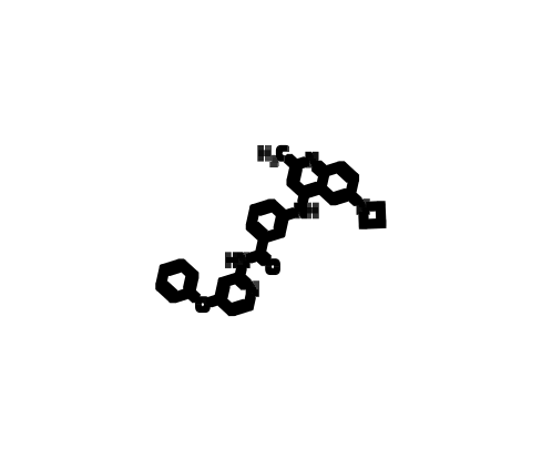 Cc1cc(Nc2cccc(C(=O)Nc3cc(Oc4ccccc4)ccn3)c2)c2cc(N3CCC3)ccc2n1